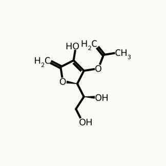 C=C(C)OC1=C(O)C(=C)O[C@@H]1[C@@H](O)CO